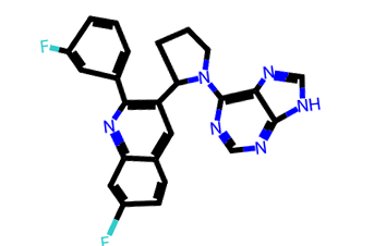 Fc1cccc(-c2nc3cc(F)ccc3cc2C2CCCN2c2ncnc3[nH]cnc23)c1